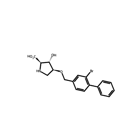 O=C(O)[C@@H]1NC[C@H](OCc2ccc(-c3ccccc3)c(Br)c2)[C@H]1O